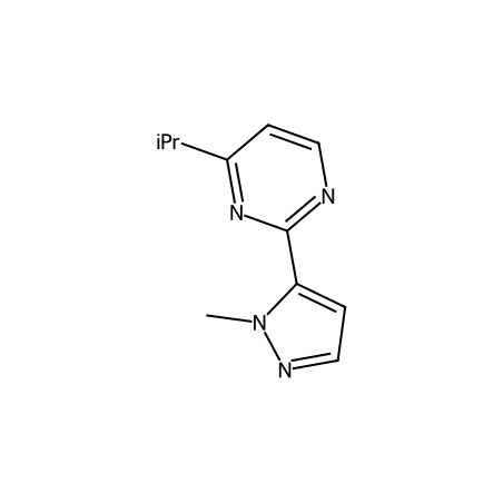 CC(C)c1ccnc(-c2ccnn2C)n1